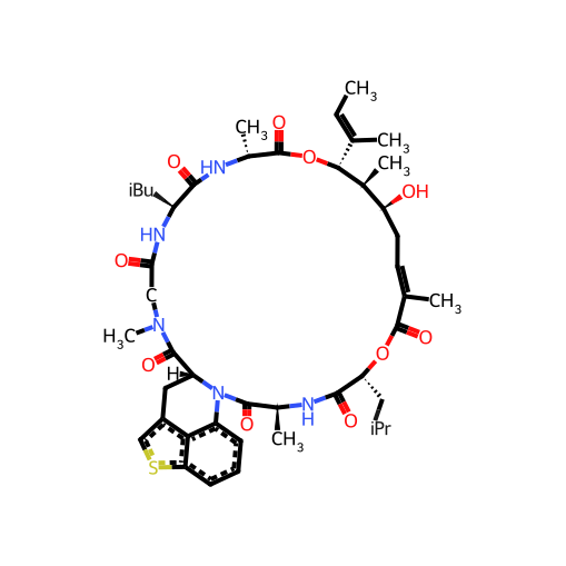 C/C=C(\C)[C@H]1OC(=O)[C@@H](C)NC(=O)[C@H](C(C)CC)NC(=O)CN(C)C(=O)[C@H]2Cc3csc4cccc(c34)N2C(=O)[C@H](C)NC(=O)[C@@H](CC(C)C)OC(=O)/C(C)=C/C[C@H](O)[C@@H]1C